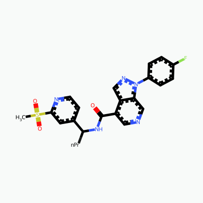 CCCC(NC(=O)c1cncc2c1cnn2-c1ccc(F)cc1)c1ccnc(S(C)(=O)=O)c1